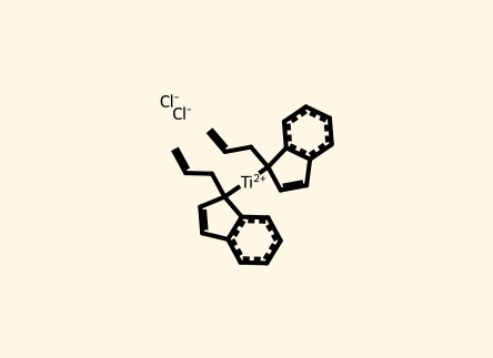 C=CC[C]1([Ti+2][C]2(CC=C)C=Cc3ccccc32)C=Cc2ccccc21.[Cl-].[Cl-]